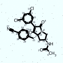 CC(=O)N[C@@H]1CN2C(=O)C(c3cc(Cl)cc(Cl)c3)=C(O)[C@]2(Cc2ccc(C#N)cc2)C1